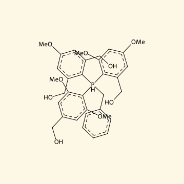 COc1cc(CO)c([PH](Cc2ccccc2)(c2c(CO)cc(OC)cc2OC)c2c(OC)cc(CO)cc2OC)c(CO)c1